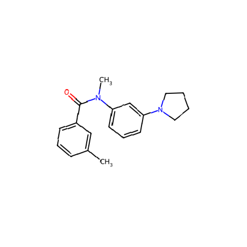 Cc1cccc(C(=O)N(C)c2cccc(N3CCCC3)c2)c1